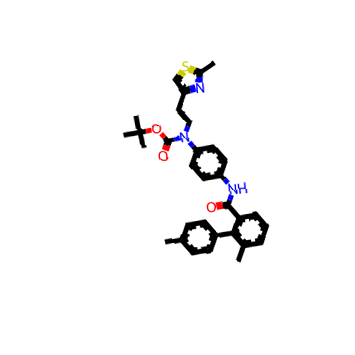 Cc1ccc(-c2c(C)cccc2C(=O)Nc2ccc(N(CCc3csc(C)n3)C(=O)OC(C)(C)C)cc2)cc1